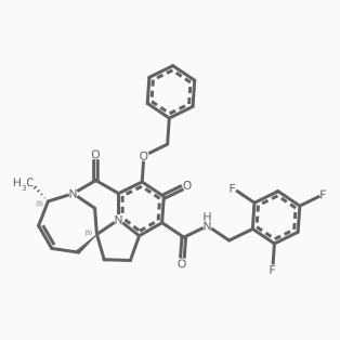 C[C@H]1C=CC[C@]23CCc4c(C(=O)NCc5c(F)cc(F)cc5F)c(=O)c(OCc5ccccc5)c(n42)C(=O)N1C3